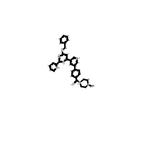 CC(C)N1CCN(C(=O)c2ccc(-c3cncc(-c4cc(OCc5ccccc5)nc(-c5ccccn5)n4)c3)cc2)CC1